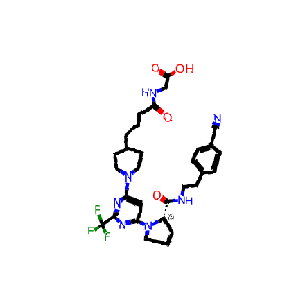 N#Cc1ccc(CCNC(=O)[C@@H]2CCCN2c2cc(N3CCC(CCCC(=O)NCC(=O)O)CC3)nc(C(F)(F)F)n2)cc1